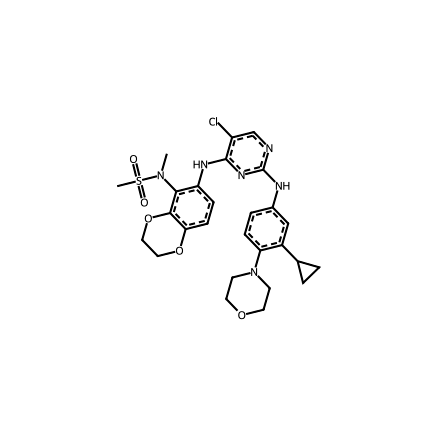 CN(c1c(Nc2nc(Nc3ccc(N4CCOCC4)c(C4CC4)c3)ncc2Cl)ccc2c1OCCO2)S(C)(=O)=O